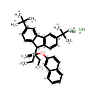 C[CH2][Ti](=[SiH2])([CH2]C)([O]c1ccc2ccccc2c1)[CH]1c2ccc(C(C)(C)C)cc2-c2cc(C(C)(C)C)ccc21.Cl.Cl